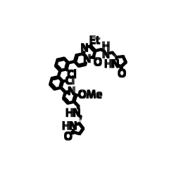 CCc1nc2cc(-c3cccc(-c4cccc(-c5ccc(CNC[C@@H]6CCC(=O)N6)c(OC)n5)c4Cl)c3Cl)ccn2c(=O)c1CNC[C@H]1CCC(=O)N1